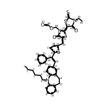 CCCCCCN1c2ccccc2CCc2cc(/C=C(\c3ccccc3)c3ccc(/C=c4/s/c(=C5/SC(=S)N(CC)C5=O)n(COC=O)c4=O)s3)ccc21